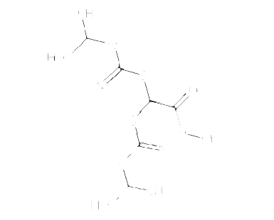 COC(=O)C(SC(=S)OC(C)C)SC(=S)OC(C)C